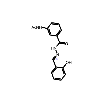 CC(=O)Nc1cccc(C(=O)N/N=C/c2ccccc2O)c1